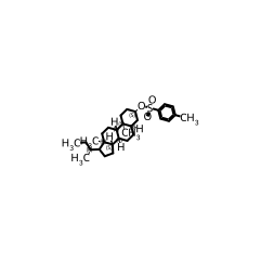 CC[C@@H](C)C1CC[C@H]2[C@@H]3CC[C@@H]4C[C@@H](OS(=O)(=O)c5ccc(C)cc5)CC[C@]4(C)[C@H]3CC[C@]12C